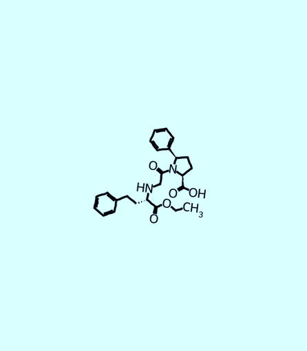 CCOC(=O)[C@H](CCc1ccccc1)NCC(=O)N1[C@@H](c2ccccc2)CC[C@H]1C(=O)O